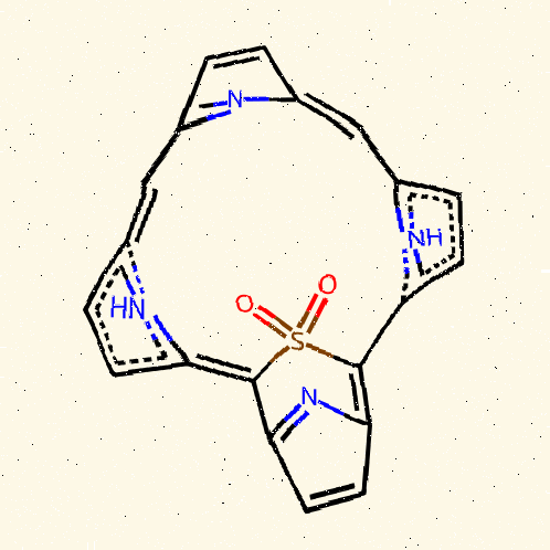 O=S1(=O)C2=C3C=CC(=N3)C1=c1ccc([nH]1)=CC1=NC(=Cc3ccc2[nH]3)C=C1